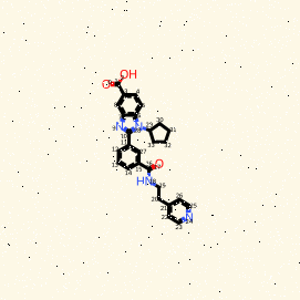 O=C(O)c1ccc2c(c1)nc(-c1cccc(C(=O)NCCc3ccncc3)c1)n2C1CCCC1